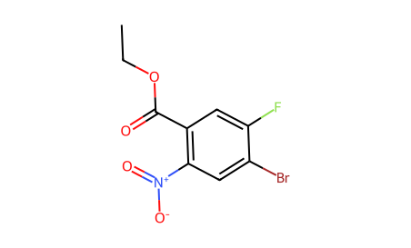 CCOC(=O)c1cc(F)c(Br)cc1[N+](=O)[O-]